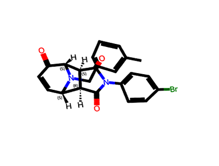 Cc1cccc(CN2[C@@H]3C(=O)C=C[C@H]2[C@@H]2C(=O)N(c4ccc(Br)cc4)C(=O)[C@@H]23)c1